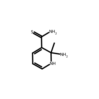 CC1(N)NC=CC=C1C(N)=S